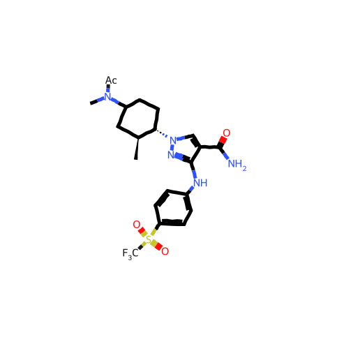 CC(=O)N(C)C1CC[C@H](n2cc(C(N)=O)c(Nc3ccc(S(=O)(=O)C(F)(F)F)cc3)n2)[C@@H](C)C1